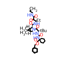 C=CCNC(=O)C(=O)C(CC)NC(=O)[C@@H]1[C@@H]2[C@H](CN1C(=O)[C@@H](NC(=O)NC1(C(=O)OCc3ccccc3)CCCCC1)C(C)(C)C)C2(C)C